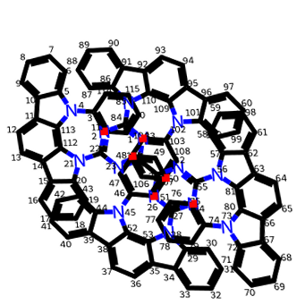 c1ccc(-n2c3ccccc3c3ccc4c5ccccc5n(-c5nc(-c6nc(-n7c8ccccc8c8ccc9c%10ccccc%10n(-c%10ccccc%10)c9c87)nc(-n7c8ccccc8c8ccc9c%10ccccc%10n(-c%10ccccc%10)c9c87)n6)nc(-n6c7ccccc7c7ccc8c9ccccc9n(-c9ccccc9)c8c76)n5)c4c32)cc1